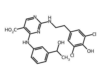 CC(O)c1cccc(Nc2nc(NCCc3cc(Cl)c(O)c(Cl)c3)ncc2C(=O)O)c1